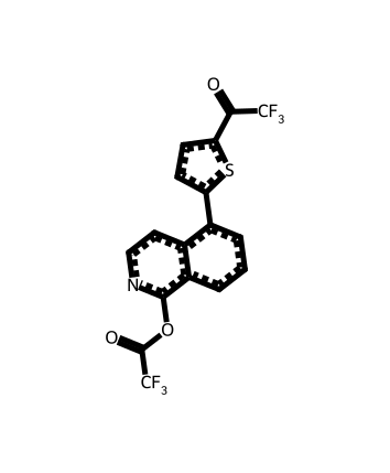 O=C(Oc1nccc2c(-c3ccc(C(=O)C(F)(F)F)s3)cccc12)C(F)(F)F